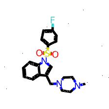 CN1CCN(Cc2cn(S(=O)(=O)c3ccc(F)cc3)c3ccccc23)CC1